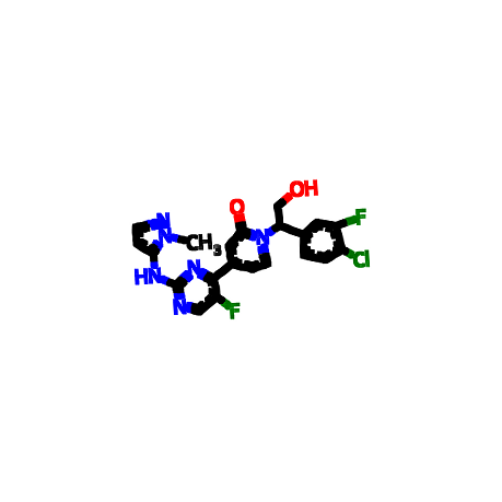 Cn1nccc1Nc1ncc(F)c(-c2ccn(C(CO)c3ccc(Cl)c(F)c3)c(=O)c2)n1